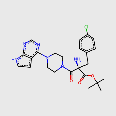 CC(C)(C)OC(=O)[C@@](N)(Cc1ccc(Cl)cc1)C(=O)N1CCN(c2ncnc3[nH]ccc23)CC1